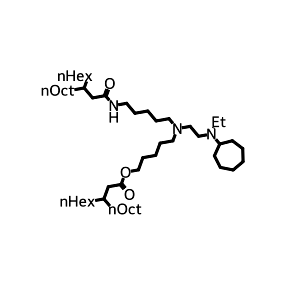 CCCCCCCCC(CCCCCC)CC(=O)NCCCCCN(CCCCCOC(=O)CC(CCCCCC)CCCCCCCC)CCN(CC)C1CCCCCC1